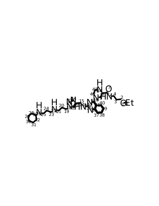 CCOCCCNC(=O)C1CN(c2nc(NCc3cn(CCCNCCCNC4CCCCC4)nn3)nc3ccccc23)CCN1